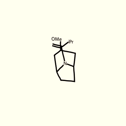 C=C(C(C)C)N1C2CCC1CC(OC)C2